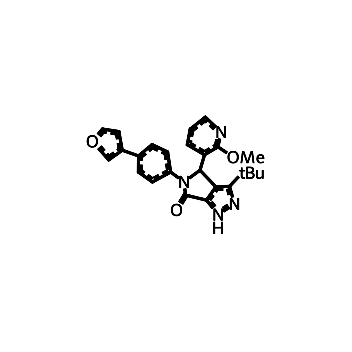 COc1ncccc1C1c2c(C(C)(C)C)n[nH]c2C(=O)N1c1ccc(-c2ccoc2)cc1